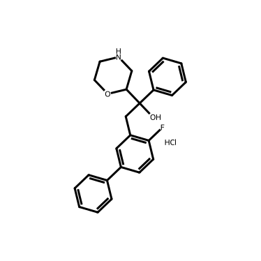 Cl.OC(Cc1cc(-c2ccccc2)ccc1F)(c1ccccc1)C1CNCCO1